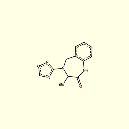 CCC(C)C1C(=O)Nc2ccccc2CN1c1ncon1